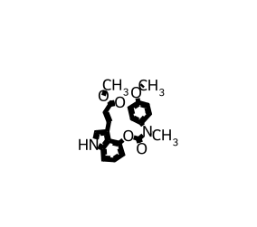 COC(=O)C=Cc1c[nH]c2cccc(OC(=O)N(C)c3ccc(OC)cc3)c12